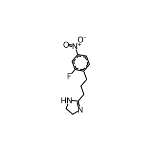 O=[N+]([O-])c1ccc(CCCC2=NCCN2)c(F)c1